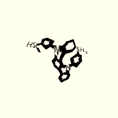 C[SiH](C)c1cccc(-n2c3c(c4c2ccc2c5ccccc5n(-c5cccc([SiH3])c5)c24)CCCC3)c1